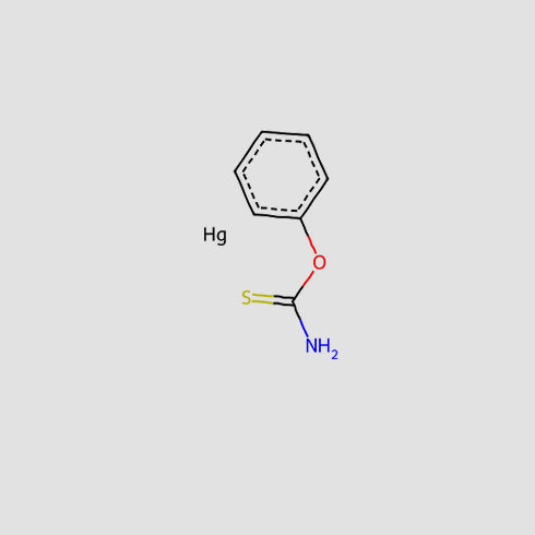 NC(=S)Oc1ccccc1.[Hg]